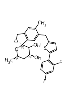 Cc1cc2c(cc1Cc1ccc(-c3ccc(F)cc3F)s1)[C@]1(OC2)O[C@H](C)C[C@H](O)C1O